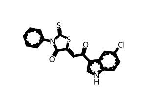 O=C(/C=C1\SC(=S)N(c2ccccc2)C1=O)c1c[nH]c2ccc(Cl)cc12